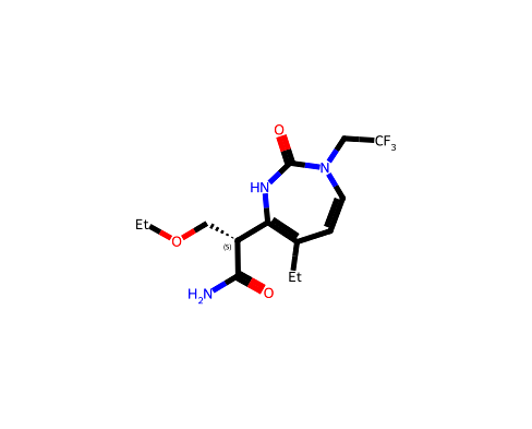 CCOC[C@@H](C(N)=O)C1=C(CC)C=CN(CC(F)(F)F)C(=O)N1